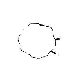 O=C1CC/C=C/CCCCCCCCCCC(=O)O1